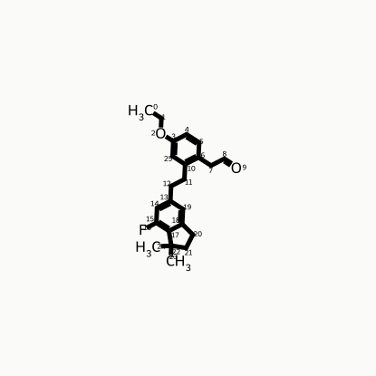 CCOc1ccc(CC=O)c(CCc2cc(F)c3c(c2)CCC3(C)C)c1